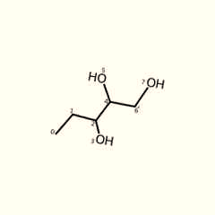 CCC(O)C(O)[CH]O